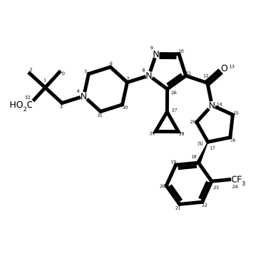 CC(C)(CN1CCC(n2ncc(C(=O)N3CC[C@@H](c4ccccc4C(F)(F)F)C3)c2C2CC2)CC1)C(=O)O